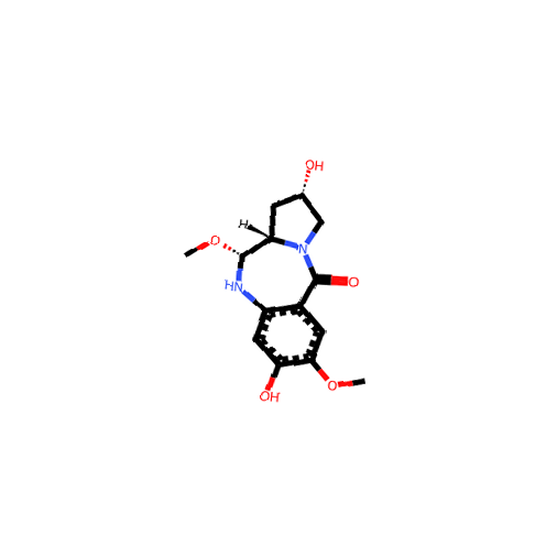 COc1cc2c(cc1O)N[C@H](OC)[C@@H]1C[C@H](O)CN1C2=O